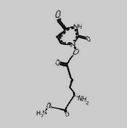 NOC(=O)[C@@H](N)CCC(=O)On1ccc(=O)[nH]c1=O